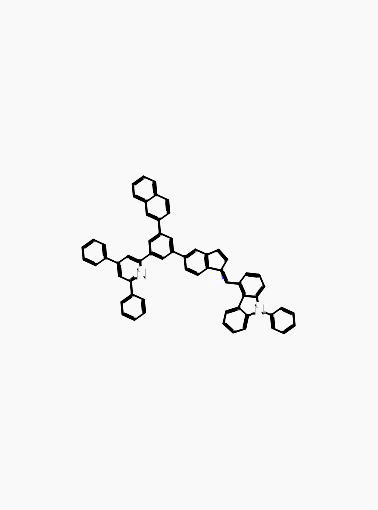 C1=Cc2cc(-c3cc(-c4ccc5ccccc5c4)cc(-c4cc(-c5ccccc5)cc(-c5ccccc5)n4)c3)ccc2/C1=C/c1cccc2c1c1ccccc1n2-c1ccccc1